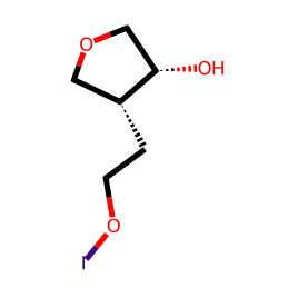 O[C@H]1COC[C@H]1CCOI